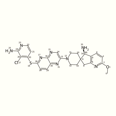 COc1ccc2c(n1)CC1(CCN(c3cnc4nc(Sc5ccnc(N)c5Cl)ccc4n3)CC1)[C@H]2N